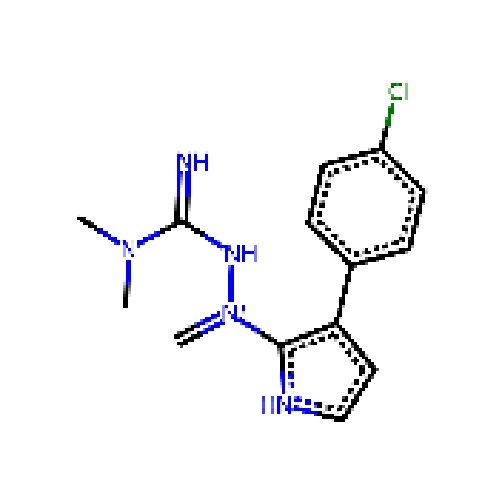 C=[N+](NC(=N)N(C)C)c1[nH]ccc1-c1ccc(Cl)cc1